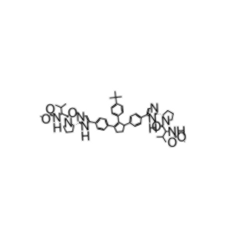 COC(=O)N[C@H](C(=O)N1CCC[C@H]1c1ncc(-c2ccc(C3=C(c4ccc(C(C)(C)C)cc4)C(c4ccc(-c5cnc([C@@H]6CCCN6C(=O)[C@@H](NC(=O)OC)C(C)C)[nH]5)cc4)CC3)cc2)[nH]1)C(C)C